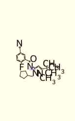 Cn1c(C(C)(C)C)c/c(=N\C(=O)c2cc(C#N)ccc2F)n1CC1CCCC1